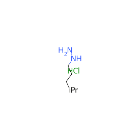 CC(C)CCCNN.Cl